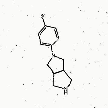 Brc1ccc(N2CC3CNCC3C2)cc1